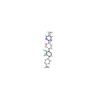 CCCCC1CCC(c2ccc(C3CCC(c4ncc(CCC)cn4)OC3)c(F)c2F)CC1